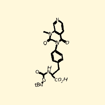 Cn1c(=O)n(-c2ccc(CC(NC(=O)OC(C)(C)C)C(=O)O)cc2)c(=O)c2ccncc21